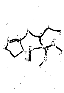 CCC(SC1=NCCS1)[Si](OC)(OC)OC